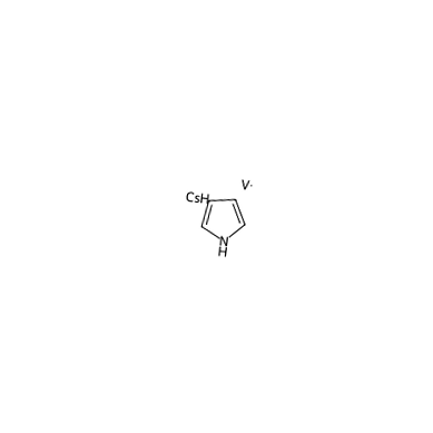 [CsH].[V].c1cc[nH]c1